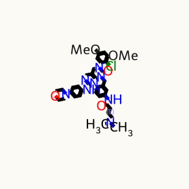 COc1cc(OC)c(Cl)c(N2Cc3cnc(Nc4ccc(N5CCOCC5)cc4)nc3N(Cc3cccc(NC(=O)/C=C/CN(C)C)c3)C2=O)c1